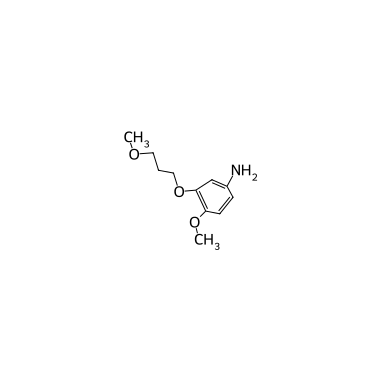 COCCCOc1cc(N)ccc1OC